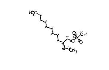 CCCCCCCCCC(CC)COS(=O)(=O)O